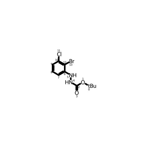 CC(C)(C)OC(=O)NNc1cccc(Cl)c1Br